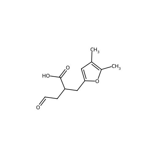 Cc1cc(CC(CC=O)C(=O)O)oc1C